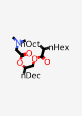 CCCCCCCCCCC(COC(=O)C(CCCCCC)CCCCCCCC)OC(=O)CN(C)C